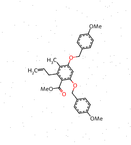 C=CCc1c(C)c(OCc2ccc(OC)cc2)cc(OCc2ccc(OC)cc2)c1C(=O)OC